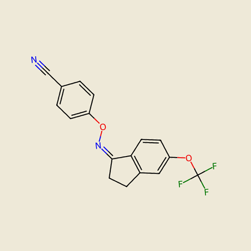 N#Cc1ccc(O/N=C2/CCc3cc(OC(F)(F)F)ccc32)cc1